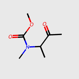 COC(=O)N(C)C(C)C(C)=O